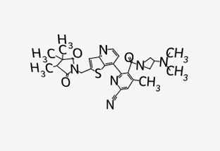 Cc1cc(C#N)nc(-c2ccnc3cc(CN4C(=O)C(C)C(C)(C)C4=O)sc23)c1C(=O)N1CC(N(C)C)C1